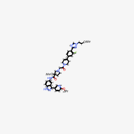 COCCn1cnc(-c2ccc(C3=CCN(C(=O)CN4CCC(OC)(C(=O)Nc5ccc6[nH]nc(-c7ccc(OC(C)C)nc7)c6c5)C4)CC3)cc2F)n1